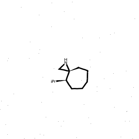 CC(C)[C@@H]1CCCCC[C@]12CN2